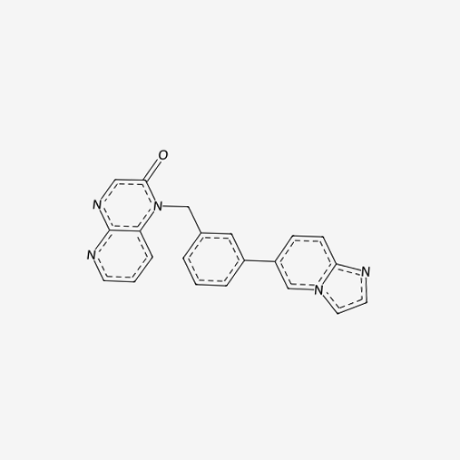 O=c1cnc2ncccc2n1Cc1cccc(-c2ccc3nccn3c2)c1